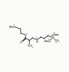 COCCOC(=O)C(C)CNCCC[Si](C)(OC)OC